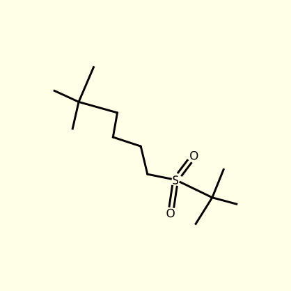 CC(C)(C)CCCCS(=O)(=O)C(C)(C)C